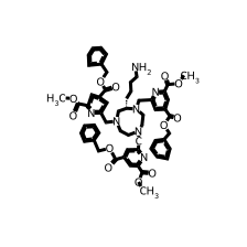 COC(=O)c1cc(C(=O)OCc2ccccc2)cc(CN2CCN(Cc3cc(C(=O)OCc4ccccc4)cc(C(=O)OC)n3)C[C@H](CCCCN)N(Cc3cc(C(=O)OCc4ccccc4)cc(C(=O)OC)n3)CC2)n1